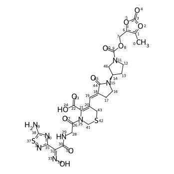 Cc1oc(=O)oc1COC(=O)N1CC[C@@H](N2CC/C(=C\C3=C(C(=O)O)N(C(=O)CNC(=O)/C(=N\O)c4nsc(N)n4)CSC3)C2=O)C1